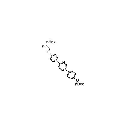 CCCCCCCCCCOc1ccc(-c2cnc(-c3ccc(OCC(F)CCCCCC)cc3)nc2)cc1